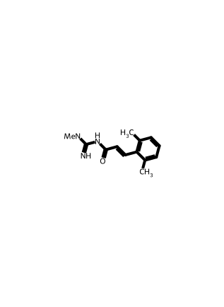 CNC(=N)NC(=O)/C=C/c1c(C)cccc1C